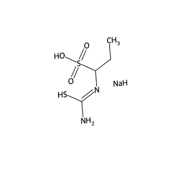 CCC(N=C(N)S)S(=O)(=O)O.[NaH]